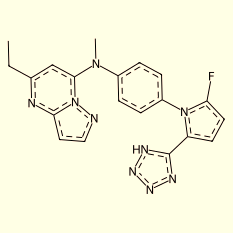 CCc1cc(N(C)c2ccc(-n3c(F)ccc3-c3nnn[nH]3)cc2)n2nccc2n1